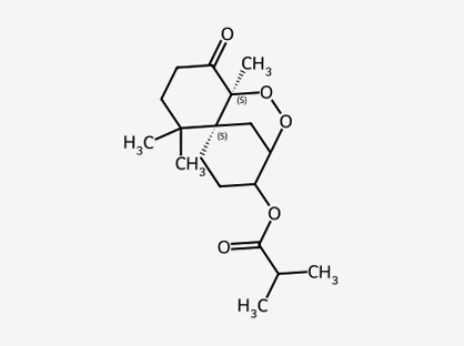 CC(C)C(=O)OC1CC[C@@]23CC1OO[C@]2(C)C(=O)CCC3(C)C